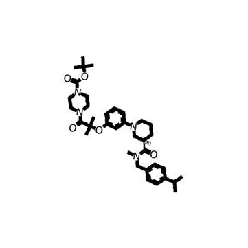 CC(C)c1ccc(CN(C)C(=O)[C@@H]2CCCN(c3cccc(OC(C)(C)C(=O)N4CCN(C(=O)OC(C)(C)C)CC4)c3)C2)cc1